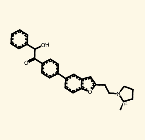 C[C@@H]1CCCN1CCc1cc2cc(-c3ccc(C(=O)C(O)c4ccccc4)cc3)ccc2o1